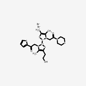 Cc1s[c+](-[c+]2sc(CCO)c(C)n2CC(=O)c2cccs2)n(CC(=O)N2CCSCC2)c1C.[Br-].[Br-]